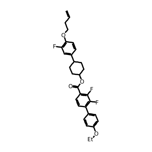 C=CCCOc1ccc(C2CCC(OC(=O)c3ccc(-c4ccc(OCC)cc4)c(F)c3F)CC2)cc1F